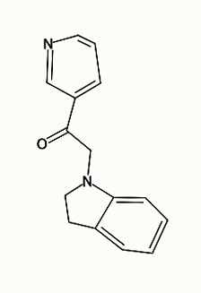 O=C(CN1CCc2ccccc21)c1cccnc1